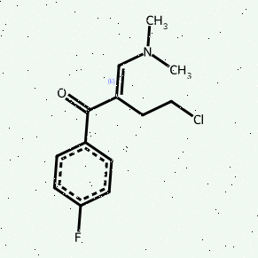 CN(C)/C=C(\CCCl)C(=O)c1ccc(F)cc1